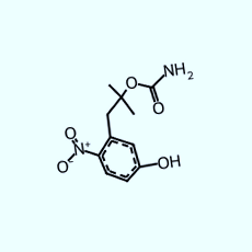 CC(C)(Cc1cc(O)ccc1[N+](=O)[O-])OC(N)=O